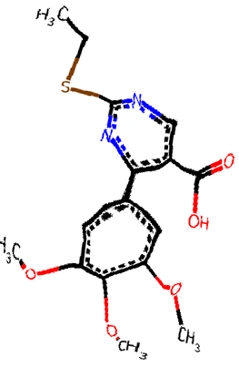 CCSc1ncc(C(=O)O)c(-c2cc(OC)c(OC)c(OC)c2)n1